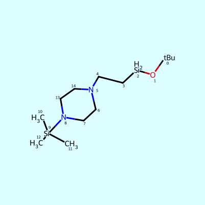 CC(C)(C)O[SiH2]CCN1CCN([Si](C)(C)C)CC1